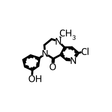 CN1CCN(c2cccc(O)c2)C(=O)c2cnc(Cl)cc21